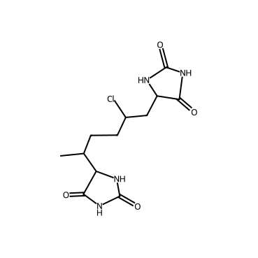 CC(CCC(Cl)CC1NC(=O)NC1=O)C1NC(=O)NC1=O